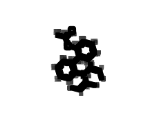 C/C=C(/C)P(/C(C)=C\C)c1ccccc1-c1ccccc1OC(C)=O